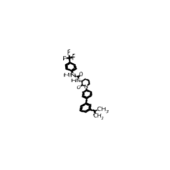 CC(C)c1cccc(-c2ccc(N3CCC[C@@H](NC(=O)Nc4ccc(C(F)(F)F)cc4)C3=O)cc2)c1